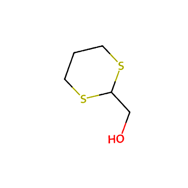 OCC1SCCCS1